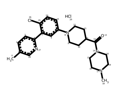 Cc1ccc(-c2cc(N3CCC(C(=O)N4CCN(C)CC4)CC3)ccc2Cl)nc1.Cl